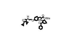 COC(=O)C(Cc1ccc(OCCNC(C)C2(C(=O)C3CC3)CC2)cc1)Nc1ccccc1C(=O)c1ccccc1